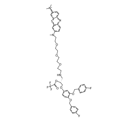 CN(CCOCCOCCOCCNC[C@H](COc1ccc(OCc2ccc(F)cc2)c(OCc2ccc(F)cc2)c1)OC(=O)C(F)(F)F)c1ccc2nc3ccc(=[N+](C)C)cc-3sc2c1